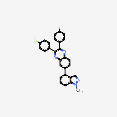 Cn1ncc2c(-c3ccc4nc(-c5ccc(F)cc5)c(-c5ccc(F)cc5)nc4c3)cccc21